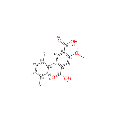 COc1cc(C(=O)O)c(-c2cc(C)ccc2C)cc1C(=O)O